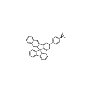 CP(C)c1ccc(-c2ccc3c(c2)-c2cc4ccccc4cc2C32c3ccccc3-c3ccccc32)cc1